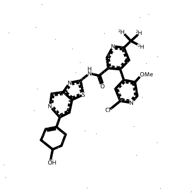 [2H]C([2H])([2H])c1cc(-c2cc(Cl)ncc2OC)c(C(=O)Nc2nc3cnc(C4=CCC(O)CC4)cc3s2)cn1